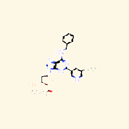 CNC(=O)[C@H]1O[C@@H](n2cnc3c(NCc4ccccc4)nc(-c4cncc(NC)c4)nc32)C[C@@H]1O